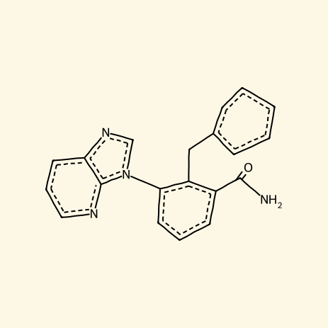 NC(=O)c1cccc(-n2cnc3cccnc32)c1Cc1ccccc1